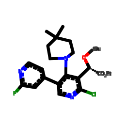 CCOC(=O)[C@@H](OC(C)(C)C)c1c(Cl)ncc(-c2ccnc(F)c2)c1N1CCC(C)(C)CC1